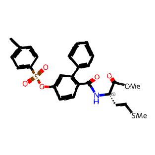 COC(=O)[C@H](CCSC)NC(=O)c1ccc(OS(=O)(=O)c2ccc(C)cc2)cc1-c1ccccc1